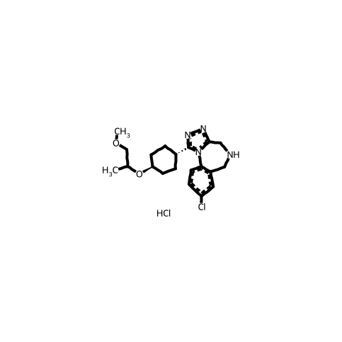 COCC(C)O[C@H]1CC[C@H](c2nnc3n2-c2ccc(Cl)cc2CNC3)CC1.Cl